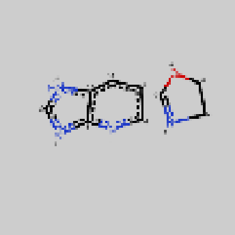 C1=NCCO1.c1cnc2nc[nH]c2c1